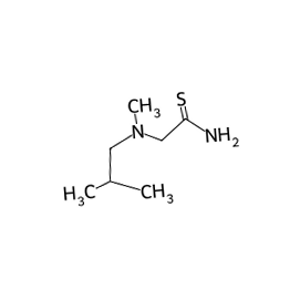 CC(C)CN(C)CC(N)=S